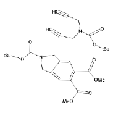 C#CCN(CC#C)C(=O)OC(C)(C)C.COC(=O)c1cc2c(cc1C(=O)OC)CN(C(=O)OC(C)(C)C)C2